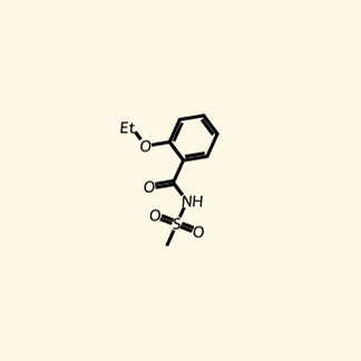 CCOc1ccccc1C(=O)NS(C)(=O)=O